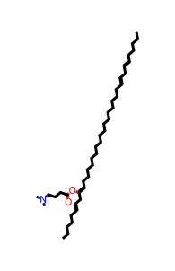 CCCCCC=CCC=CCCCCCCCCCCCCCCCCCC=C(CC=CCCCCC)OC(=O)CCCN(C)C